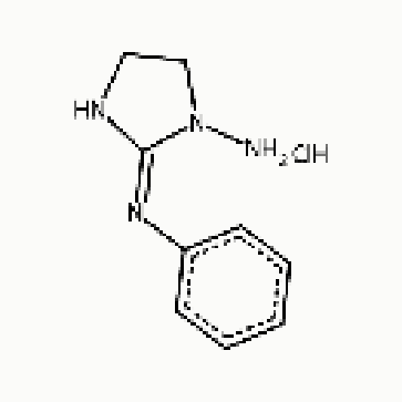 Cl.NN1CCNC1=Nc1ccccc1